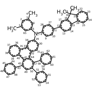 Cc1cc(C)cc(N(c2ccc(-c3ccc4c(c3)C(C)(C)c3ccccc3-4)cc2)c2ccc3c(c2)c2ccccc2c2c(-c4ccccc4)cc(-c4ccccc4)c(-c4ccccc4)c32)c1